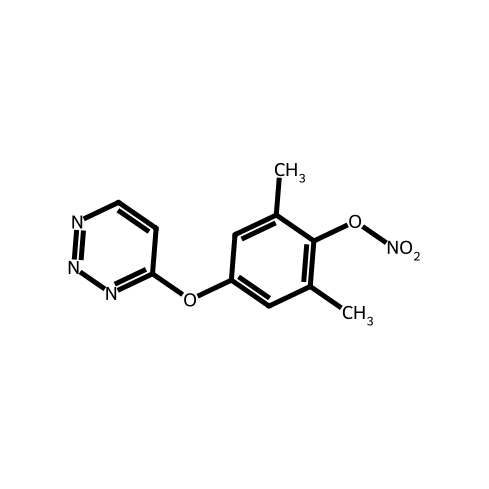 Cc1cc(Oc2ccnnn2)cc(C)c1O[N+](=O)[O-]